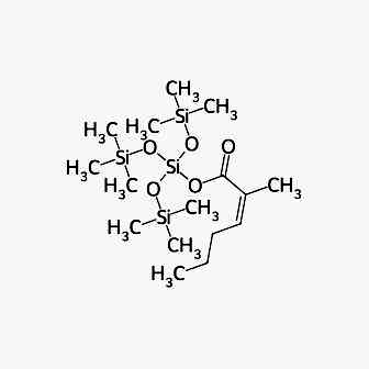 CCCC=C(C)C(=O)O[Si](O[Si](C)(C)C)(O[Si](C)(C)C)O[Si](C)(C)C